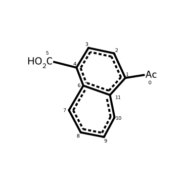 CC(=O)c1ccc(C(=O)O)c2ccccc12